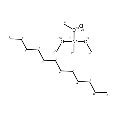 CCCCCCCCCCCC.CO[N+](C)(OC)OC.[Cl-]